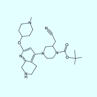 CN1CCC(Oc2cc(N3CCN(C(=O)OC(C)(C)C)C(CC#N)C3)c3c(n2)CNCC3)CC1